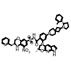 Cc1ccccc1[C@@H]1CCCN1C1CC2(CCN(c3ccc(C(=O)NS(=O)(=O)c4cc5c(c([N+](=O)[O-])c4)N[C@@H](Cc4ccccn4)CO5)c(N4C[C@@H](C)Oc5nc6[nH]ccc6cc54)c3)CC2)C1